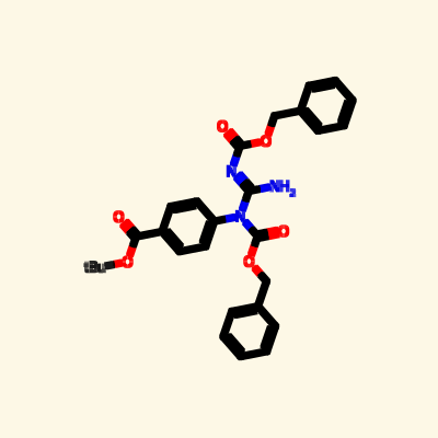 CC(C)(C)OC(=O)c1ccc(N(C(=O)OCc2ccccc2)C(N)=NC(=O)OCc2ccccc2)cc1